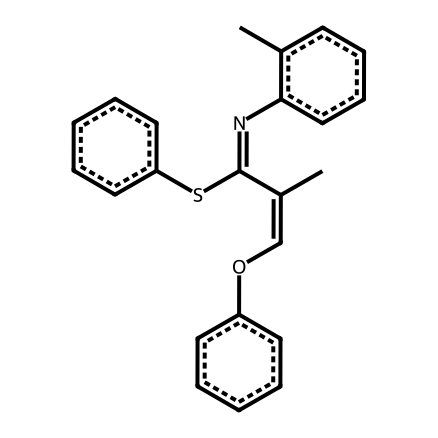 CC(=COc1ccccc1)C(=Nc1ccccc1C)Sc1ccccc1